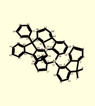 CC1(C)c2ccccc2-c2c(N(c3ccccc3)c3cccc4c3oc3c(C5(c6ccccc6)c6ccccc6-c6ccccc65)cccc34)cccc21